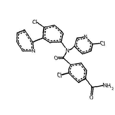 NC(=O)c1ccc(C(=O)N(c2ccc(Cl)nc2)c2ccc(Cl)c(-c3ccccn3)c2)c(Cl)c1